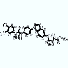 CC[C@H](C)[C@H](NC(=O)OC(C)(C)C)C(=O)Nc1ccc2c(ccn2-c2ccc(NC(=O)N(O)c3ccc(Cl)c(C(F)(F)F)c3)cc2)c1